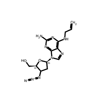 C=CCNc1nc(N)nc2c1ncn2[C@H]1CC(N=[N+]=[N-])[C@@H](CO)O1